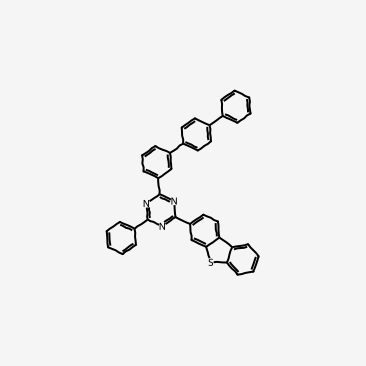 c1ccc(-c2ccc(-c3cccc(-c4nc(-c5ccccc5)nc(-c5ccc6c(c5)sc5ccccc56)n4)c3)cc2)cc1